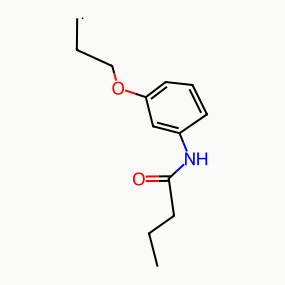 [CH2]CCOc1cccc(NC(=O)CCC)c1